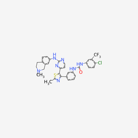 Cc1nc(-c2cccc(NC(=O)Nc3ccc(Cl)c(C(F)(F)F)c3)c2)c(-c2ccnc(Nc3ccc4c(c3)CN(C)CC4)n2)s1